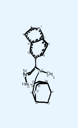 CN1C(c2ccc3sccc3c2)=NN[C@]12CC1CCC2CC1